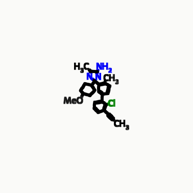 CC#Cc1cccc(-c2ccc(C)c(C3(C4CCC(OC)CC4)N=C(C)C(N)=N3)c2)c1Cl